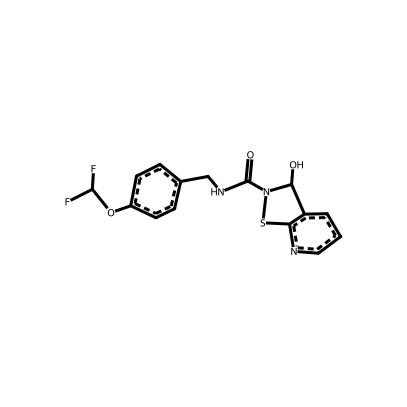 O=C(NCc1ccc(OC(F)F)cc1)N1Sc2ncccc2C1O